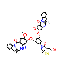 COc1cc2c(cc1OCc1cc(COc3cc4c(cc3OC)C(=O)N3c5ccccc5C[C@H]3CN4)cc(N(CC(C)(C)S)C(=O)CCCO)c1)N=C[C@@H]1Cc3ccccc3N1C2=O